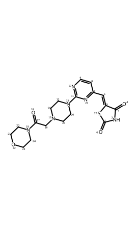 O=C1NC(=O)C(=Cc2ccnc(N3CCN(CC(=O)N4CCOCC4)CC3)n2)S1